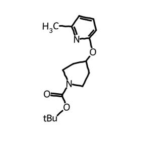 Cc1cccc(OC2CCN(C(=O)OC(C)(C)C)CC2)n1